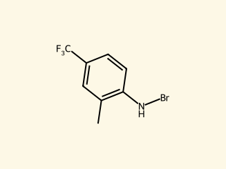 Cc1cc(C(F)(F)F)ccc1NBr